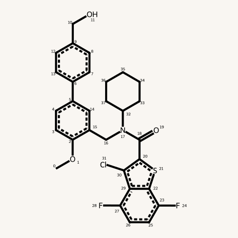 COc1ccc(-c2ccc(CO)cc2)cc1CN(C(=O)c1sc2c(F)ccc(F)c2c1Cl)C1CCCCC1